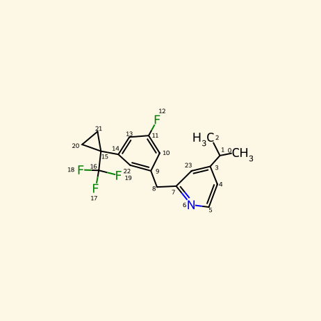 CC(C)c1ccnc(Cc2cc(F)cc(C3(C(F)(F)F)CC3)c2)c1